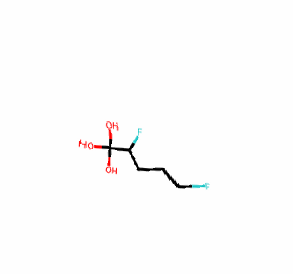 OC(O)(O)C(F)CCCF